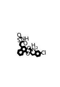 NC(=O)C(Cc1ccc(Cl)cc1)Oc1ccc(C=C2SC(=O)NC2=O)c2ccccc12